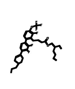 CCCCC(CC)COC(=O)CCCc1c(-c2ccc(C3=CCC(CCC)CC3)c(F)c2F)ccc(OC(F)(F)F)c1F